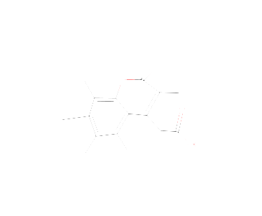 Cc1c(C)c(C)c2c(CC(=O)O)c(C)c(=O)oc2c1C